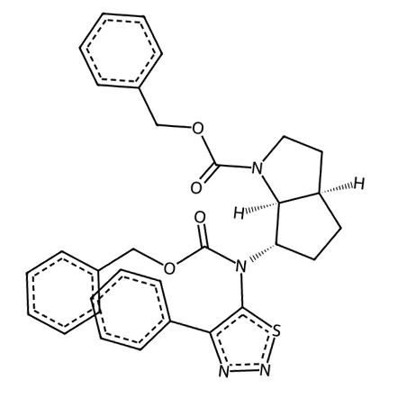 O=C(OCc1ccccc1)N1CC[C@H]2CC[C@H](N(C(=O)OCc3ccccc3)c3snnc3-c3ccccc3)[C@H]21